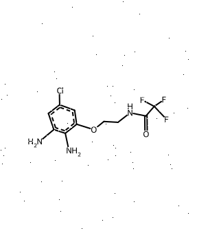 Nc1cc(Cl)cc(OCCNC(=O)C(F)(F)F)c1N